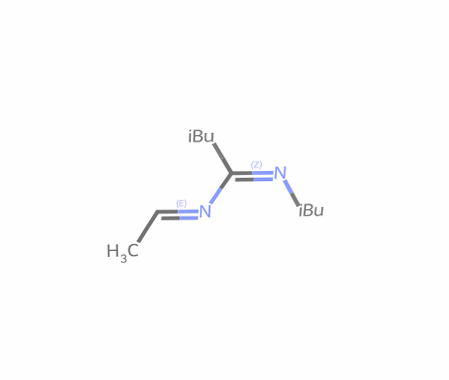 C/C=N/C(=N\C(C)CC)C(C)CC